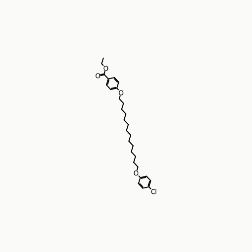 CCOC(=O)c1ccc(OCCCCCCCCCCCCCCOc2ccc(Cl)cc2)cc1